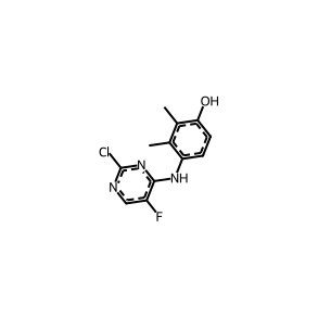 Cc1c(O)ccc(Nc2nc(Cl)ncc2F)c1C